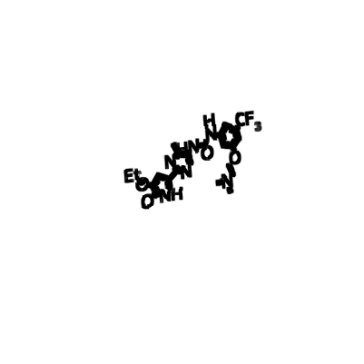 CCOc1cc(-c2ncc(NC(=O)Nc3cc(OCCN(C)C)cc(C(F)(F)F)c3)c(C)n2)c[nH]c1=O